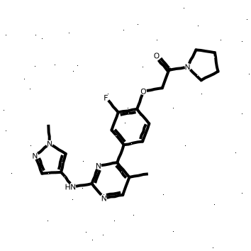 Cc1cnc(Nc2cnn(C)c2)nc1-c1ccc(OCC(=O)N2CCCC2)c(F)c1